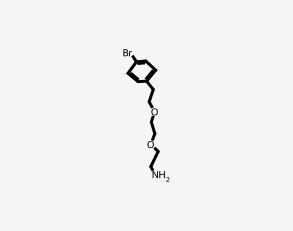 NCCOCCOCCc1ccc(Br)cc1